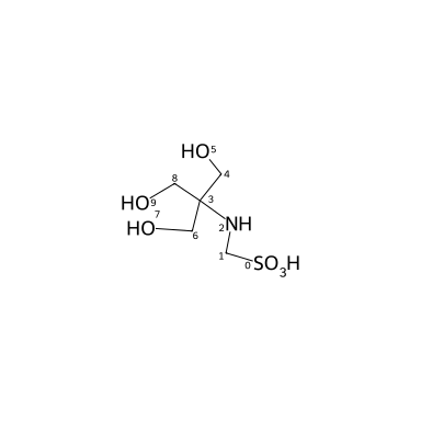 O=S(=O)(O)CNC(CO)(CO)CO